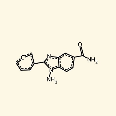 NC(=O)c1ccc2c(c1)nc(-c1ccccc1)n2N